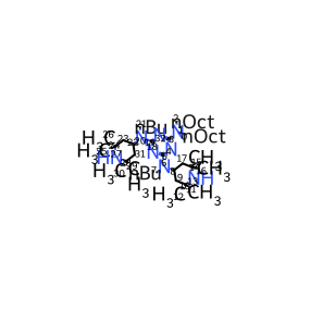 CCCCCCCCN(CCCCCCCC)c1nc(N(CCCC)C2CC(C)(C)NC(C)(C)C2)nc(N(CCCC)C2CC(C)(C)NC(C)(C)C2)n1